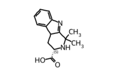 CC1(C)N[C@H](C(=O)O)CC2C1=Nc1ccccc12